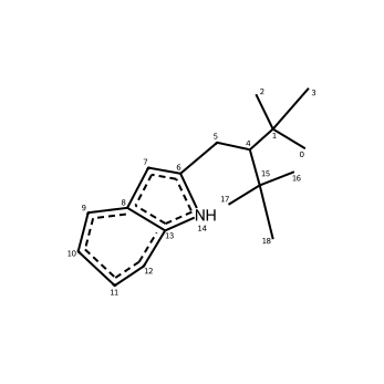 CC(C)(C)C(Cc1cc2ccccc2[nH]1)C(C)(C)C